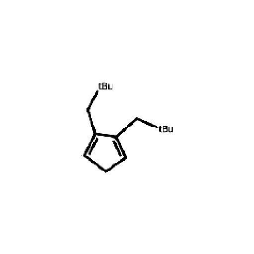 CC(C)(C)CC1=[C]CC=C1CC(C)(C)C